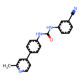 Cc1cc(-c2ccc(NC(=O)Nc3cccc(C#N)c3)cc2)ccn1